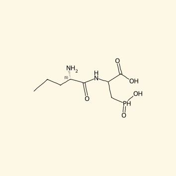 CCC[C@H](N)C(=O)NC(C[PH](=O)O)C(=O)O